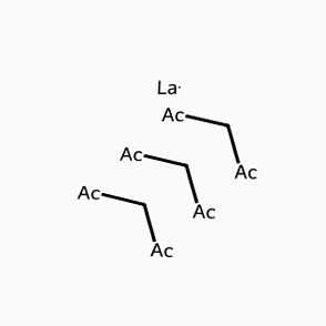 CC(=O)CC(C)=O.CC(=O)CC(C)=O.CC(=O)CC(C)=O.[La]